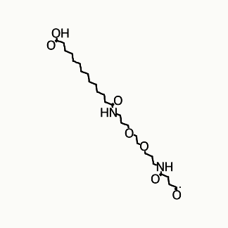 O=[C]CCC(=O)NCCCOCCOCCCNC(=O)CCCCCCCCCCCCC(=O)O